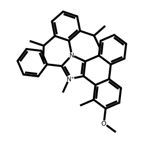 COc1ccc2c3ccccc3c3c(c2c1C)[n+](C)c(-c1ccccc1)n3-c1c(C(C)C)cccc1C(C)C